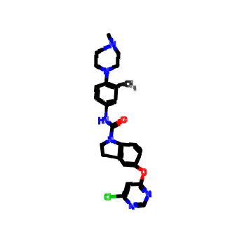 CN1CCN(c2ccc(NC(=O)N3CCc4cc(Oc5cc(Cl)ncn5)ccc43)cc2C(F)(F)F)CC1